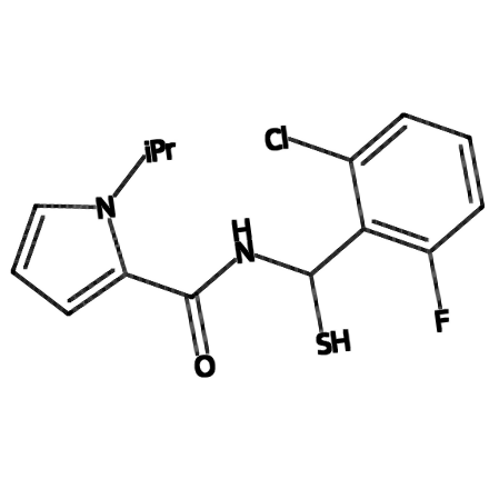 CC(C)n1cccc1C(=O)NC(S)c1c(F)cccc1Cl